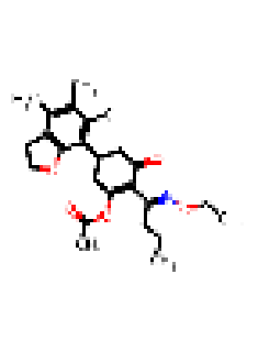 CCCC(=NOCC)C1=C(OC(C)=O)CC(c2c(C)c(C)c(C)c3c2OCC3)CC1=O